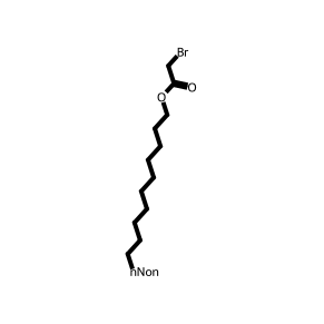 CCCCCCCCCCCCCCCCCCCOC(=O)CBr